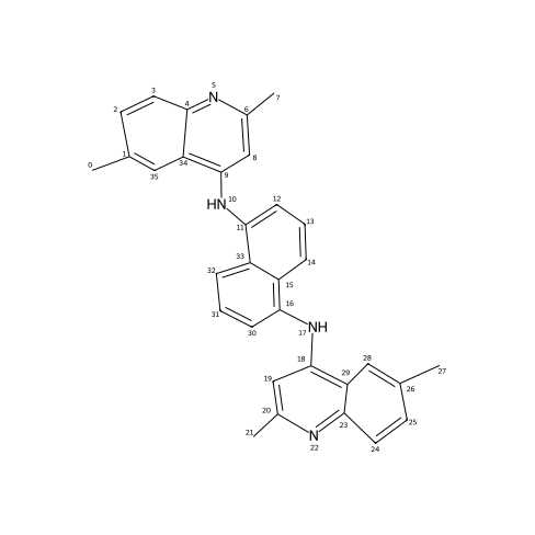 Cc1ccc2nc(C)cc(Nc3cccc4c(Nc5cc(C)nc6ccc(C)cc56)cccc34)c2c1